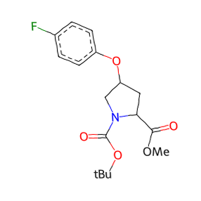 COC(=O)C1CC(Oc2ccc(F)cc2)CN1C(=O)OC(C)(C)C